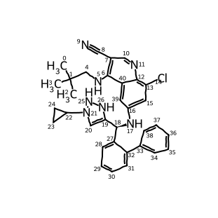 CC(C)(C)CNc1c(C#N)cnc2c(Cl)cc(N[C@H](C3=CN(C4CC4)NN3)c3ccccc3-c3ccccc3)cc12